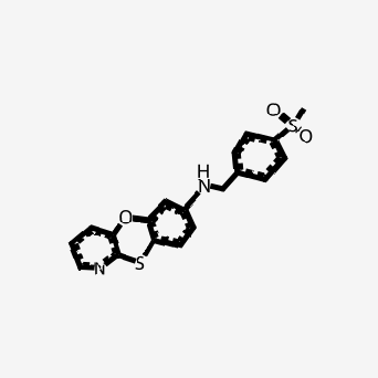 CS(=O)(=O)c1ccc(CNc2ccc3c(c2)Oc2cccnc2S3)cc1